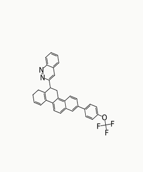 FC(F)(F)Oc1ccc(-c2ccc3c4c(ccc3c2)C2=C(CCC=C2)C(c2cc3ccccc3nn2)C4)cc1